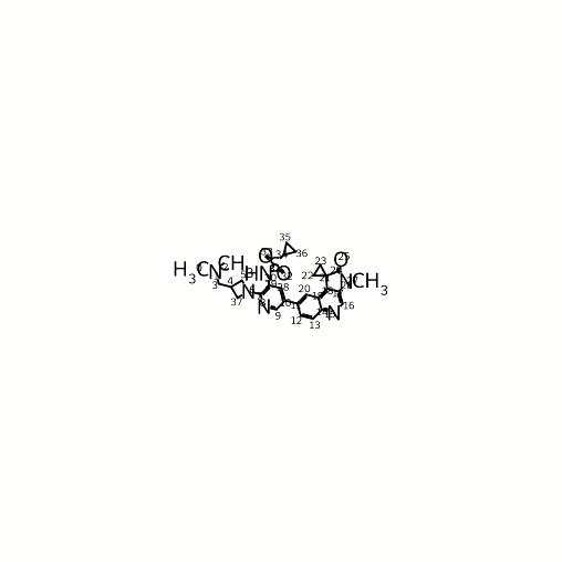 CN(C)CC1CN(c2ncc(-c3ccc4ncc5c(c4c3)C3(CC3)C(=O)N5C)cc2NS(=O)(=O)C2CC2)C1